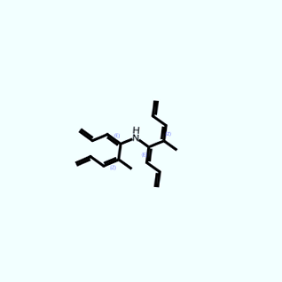 C=C/C=C(C)\C(=C/C=C)NC(=C/C=C)/C(C)=C\C=C